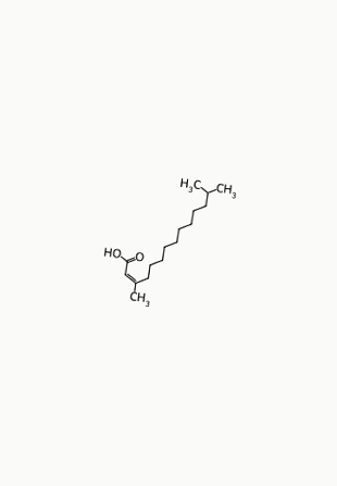 CC(=CC(=O)O)CCCCCCCCCC(C)C